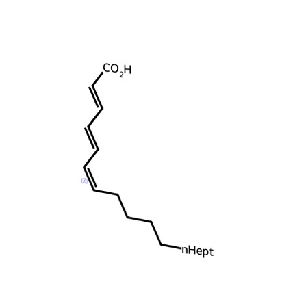 CCCCCCCCCCC/C=C\C=CC=CC(=O)O